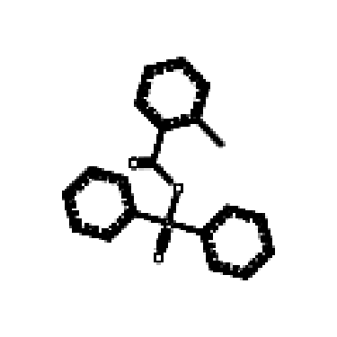 Cc1ccccc1C(=O)OP(=O)(c1ccccc1)c1ccccc1